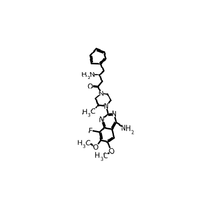 COc1cc2c(N)nc(N3CCN(C(=O)C[C@@H](N)Cc4ccccc4)C[C@@H]3C)nc2c(F)c1OC